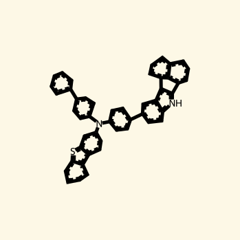 c1ccc(-c2ccc(N(c3ccc(-c4ccc5[nH]c6c(c5c4)-c4cccc5cccc-6c45)cc3)c3ccc4c(c3)sc3ccccc34)cc2)cc1